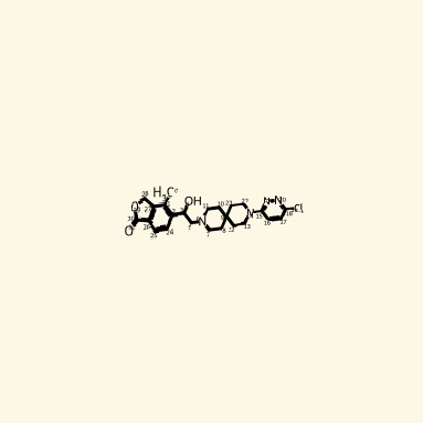 Cc1c(C(O)CN2CCC3(CC2)CCN(c2ccc(Cl)nn2)CC3)ccc2c1COC2=O